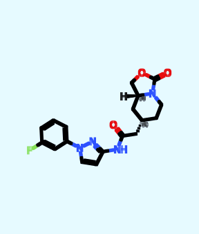 O=C(C[C@H]1CCN2C(=O)OC[C@H]2C1)Nc1ccn(-c2cccc(F)c2)n1